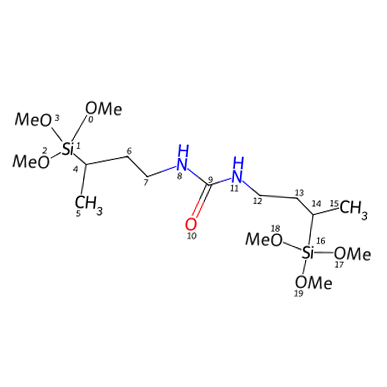 CO[Si](OC)(OC)C(C)CCNC(=O)NCCC(C)[Si](OC)(OC)OC